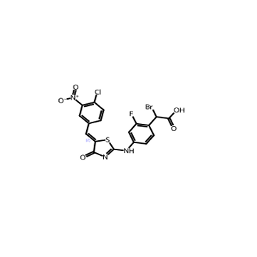 O=C1N=C(Nc2ccc(C(Br)C(=O)O)c(F)c2)S/C1=C\c1ccc(Cl)c([N+](=O)[O-])c1